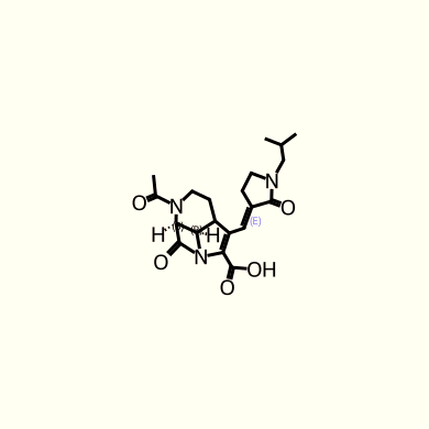 CC(=O)N1CCC2C(/C=C3\CCN(CC(C)C)C3=O)=C(C(=O)O)N3C(=O)[C@@H]1[C@@H]23